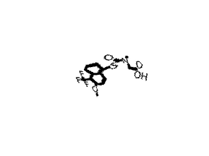 COc1ccc2c(SC(=O)N(C)CC(=O)O)cccc2c1C(F)(F)F